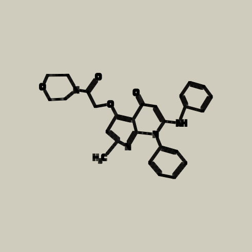 Cc1cc(OCC(=O)N2CCOCC2)c2c(=O)cc(Nc3ccccc3)n(-c3ccccc3)c2n1